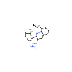 Cc1cccc2cc(CCN)c(-c3ccccc3Cl)nc12